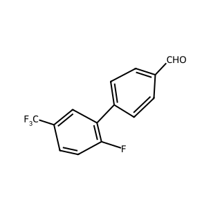 O=Cc1ccc(-c2cc(C(F)(F)F)ccc2F)cc1